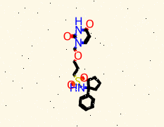 O=c1ccn(COCCCS(=O)(=O)NC2(c3ccccc3)CCCC2)c(=O)[nH]1